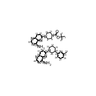 CC(C)(C)OC(=O)N1CCN(c2ccc3ncnc(N)c3n2)CC1.Cc1cccc(C2CCCN(c3ccc4ncnc(N)c4n3)C2)n1